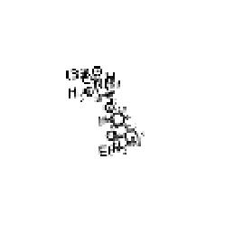 CCN1Cc2nccc(-c3ccc(OCC(C)CC(C)NC(=O)OC(C)(C)C)c(F)c3)c2C1=O